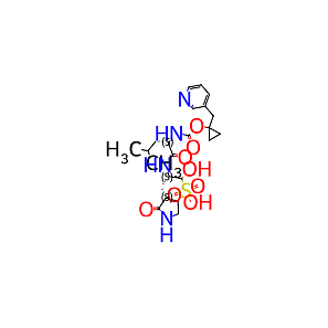 CC(C)C[C@H](NC(=O)OC1(Cc2cccnc2)CC1)C(=O)N[C@@H](C[C@@H]1CCNC1=O)C(O)S(=O)(=O)O